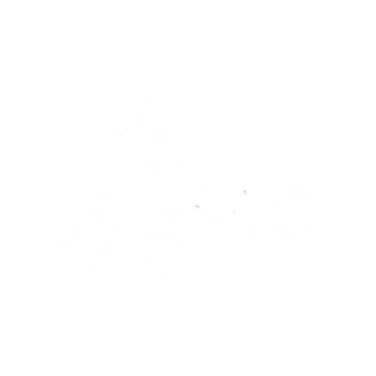 O=C(O)c1ccc(CN(CC(O)Cc2ccccc2)C(=O)c2ccccc2Oc2ccccc2F)cc1